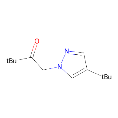 CC(C)(C)C(=O)Cn1cc(C(C)(C)C)cn1